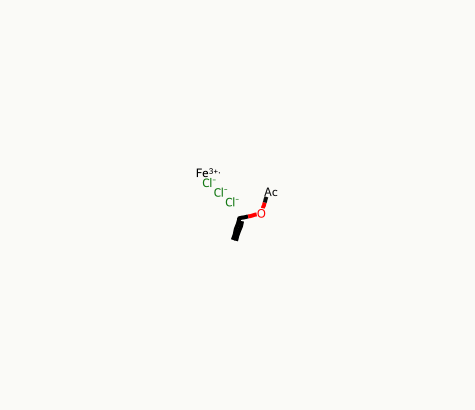 C=COC(C)=O.[Cl-].[Cl-].[Cl-].[Fe+3]